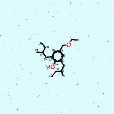 CCOCc1cc(CC(C)CC)c(O)c(CC(C)CC)c1